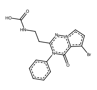 O=C(O)NCCc1nn2ccc(Br)c2c(=O)n1-c1ccccc1